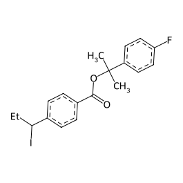 CCC(I)c1ccc(C(=O)OC(C)(C)c2ccc(F)cc2)cc1